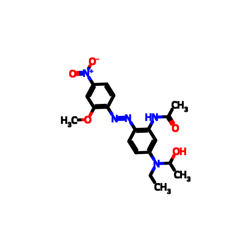 CCN(c1ccc(/N=N/c2ccc([N+](=O)[O-])cc2OC)c(NC(C)=O)c1)C(C)O